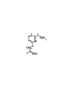 CC(=N)NCc1cccc(CN)n1